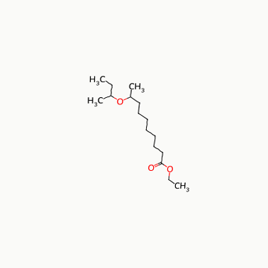 CCOC(=O)CCCCCCCC(C)OC(C)CC